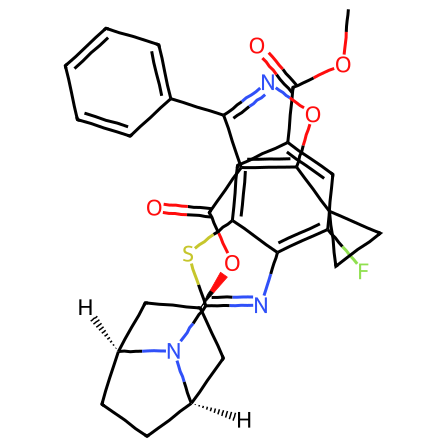 COC(=O)c1cc(F)c2nc(N3[C@@H]4CC[C@H]3C[C@@H](OC(=O)c3c(-c5ccccc5)noc3C3CC3)C4)sc2c1